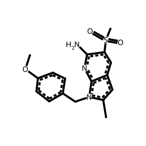 COc1ccc(Cn2c(C)cc3cc(S(C)(=O)=O)c(N)nc32)cc1